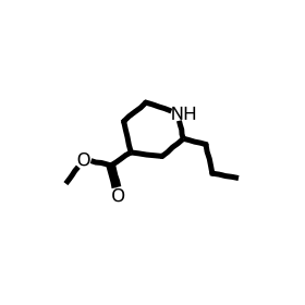 CCCC1CC(C(=O)OC)CCN1